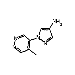 Cc1cnncc1-n1cc(N)cn1